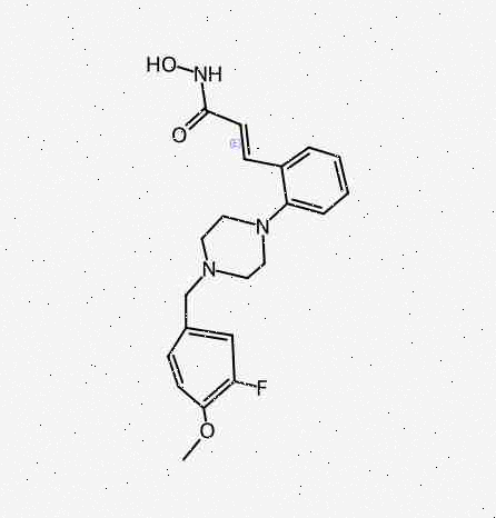 COc1ccc(CN2CCN(c3ccccc3/C=C/C(=O)NO)CC2)cc1F